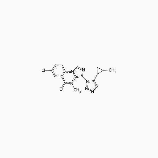 CC1CC1c1cnnn1-c1ncn2c3ccc(Cl)cc3c(=O)n(C)c12